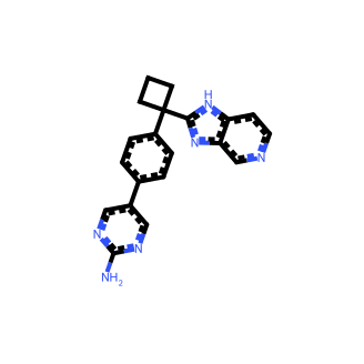 Nc1ncc(-c2ccc(C3(c4nc5cnccc5[nH]4)CCC3)cc2)cn1